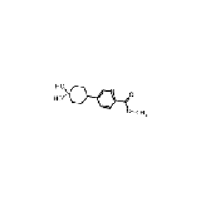 COC(=O)c1ccc(C2CCS(O)(O)CC2)cn1